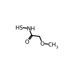 COCC(=O)NS